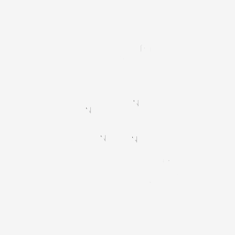 Cc1nc(NCC2OCCO2)c2ncc(SC(C)(C)C)cc2n1